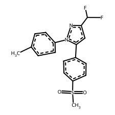 Cc1ccc(-n2nc(C(F)F)cc2-c2ccc(S(C)(=O)=O)cc2)cc1